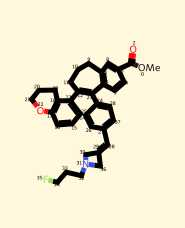 COC(=O)c1ccc2c(c1)CCCC(c1cccc3c1CCCO3)=C2c1ccc(C=C2CN(CCCF)C2)cc1